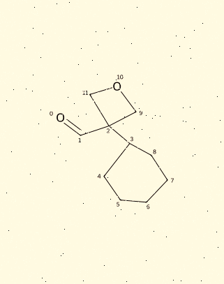 O=CC1(C2CCCCC2)COC1